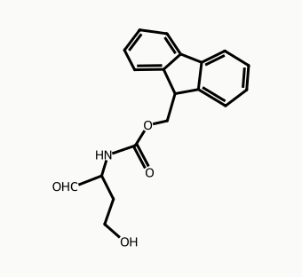 O=CC(CCO)NC(=O)OCC1c2ccccc2-c2ccccc21